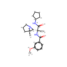 CC(NC(=O)c1cccc(OC(F)(F)F)c1)(C(=O)NC1CCCC1)[C@@H]1[C@@H]2CCCN12